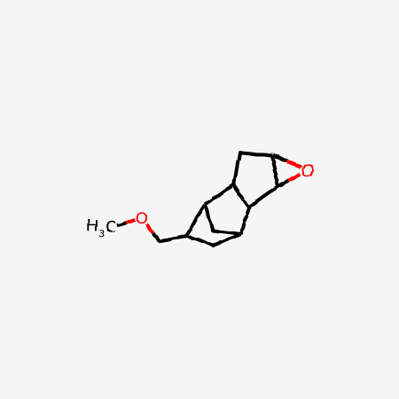 COCC1CC2CC1C1CC3OC3C21